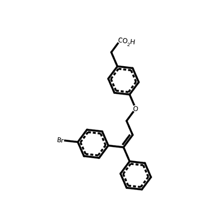 O=C(O)Cc1ccc(OC/C=C(/c2ccccc2)c2ccc(Br)cc2)cc1